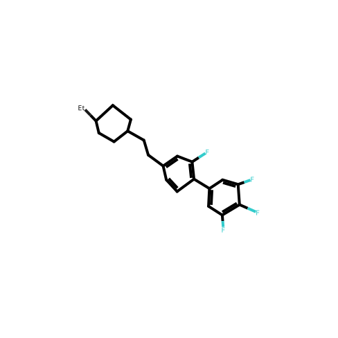 CCC1CCC(CCc2ccc(-c3cc(F)c(F)c(F)c3)c(F)c2)CC1